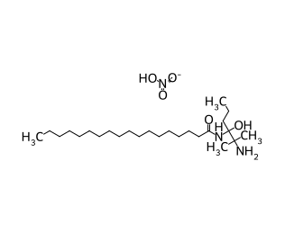 CCCCCCCCCCCCCCCCCC(=O)NC(O)(CCC)C(C)(C)N.O=[N+]([O-])O